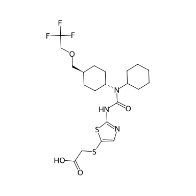 O=C(O)CSc1cnc(NC(=O)N(C2CCCCC2)[C@H]2CC[C@H](COCC(F)(F)F)CC2)s1